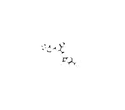 CSC(OC(C)=O)C1=C(C(=O)O)N2C(=O)[C@H](NC(=O)C(NC(=O)N3CCN(S(C)(=O)=O)C3=O)c3cscn3)[C@H]2SC1